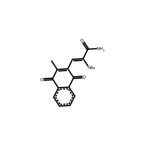 CCCC/C(=C\C1=C(C)C(=O)c2ccccc2C1=O)C(N)=O